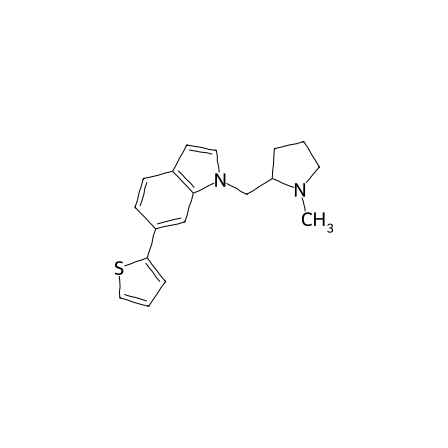 CN1CCCC1Cn1ccc2ccc(-c3cccs3)cc21